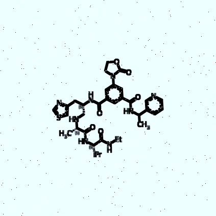 CCNC(=O)[C@@H](NC(=O)[C@H](C)NC[C@H](Cc1cscn1)NC(=O)c1cc(C(=O)NC(C)c2cccnc2)cc(N2CCOC2=O)c1)C(C)C